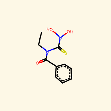 CCN(C(=O)c1ccccc1)C(=S)N(O)O